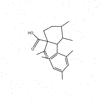 CC(=O)C1(C(=O)O)CCC(C)C(C)C1c1c(C)cc(C)cc1C